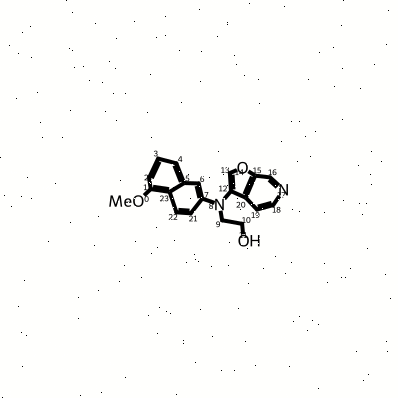 COc1cccc2cc(N(CCO)c3coc4cnccc34)ccc12